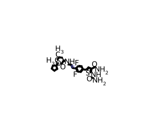 CC(C)C[C@@H](NC/C=C/c1c(F)cc(-c2cc(C(N)=O)c(NC(N)=O)s2)cc1F)C(=O)OC1CCCC1